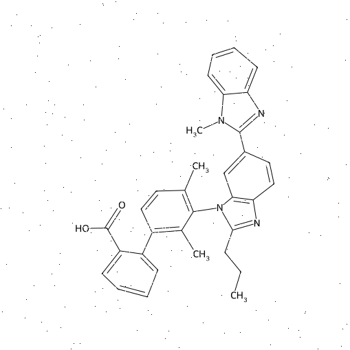 CCCc1nc2ccc(-c3nc4ccccc4n3C)cc2n1-c1c(C)ccc(-c2ccccc2C(=O)O)c1C